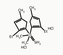 CCC1=[C]([Ti]([CH3])([CH3])(=[SiH2])[C]2=C(CC)C=C(C)C2)CC(C)=C1.Cl.Cl